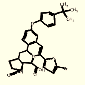 CC(C)(C)c1ccc(Oc2ccc3c(c2)C=C(c2ccc(Br)s2)N(C(CN=C=O)C(=O)O)C3CC2CCCC2)cc1